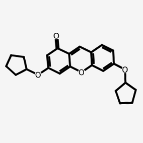 O=c1cc(OC2CCCC2)cc2oc3cc(OC4CCCC4)ccc3cc1-2